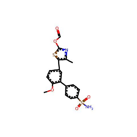 COc1ccc(-c2sc(OC=O)nc2C)cc1-c1ccc(S(N)(=O)=O)cc1